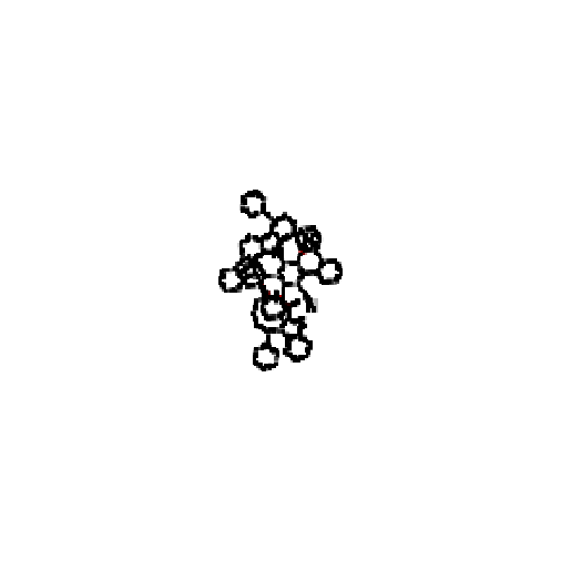 C=c1cccc(-c2ccccc2)c2c(sc3ccccc32)c(=C)n1-c1c(C#N)c(-c2ccccc2-c2ccccc2)c(C#N)c(-n2c3cccc(-c4ccccc4)c3c3ccc4c5ccccc5sc4c32)c1-c1ccccc1-c1ccccc1